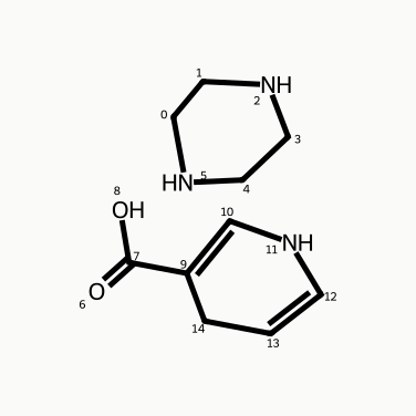 C1CNCCN1.O=C(O)C1=CNC=CC1